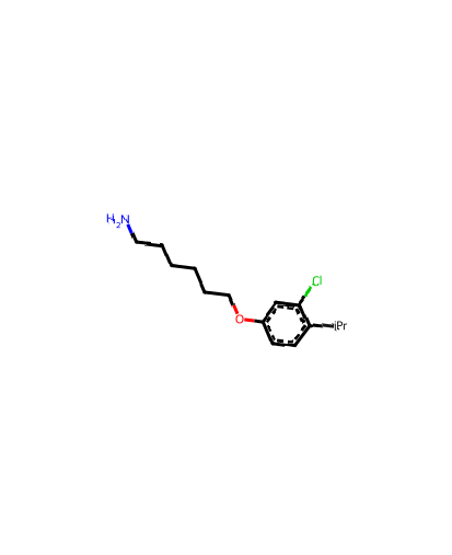 CC(C)c1ccc(OCCCCCCN)cc1Cl